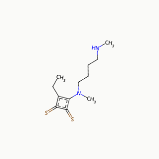 CCc1c(N(C)CCCCNC)c(=S)c1=S